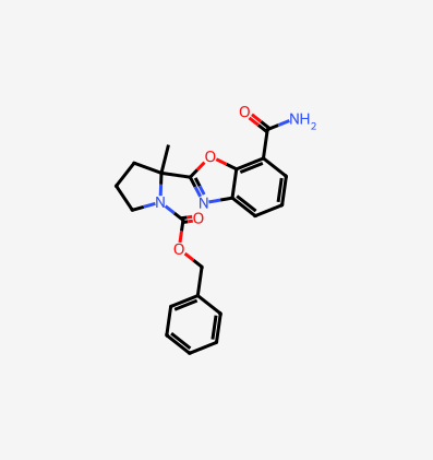 CC1(c2nc3cccc(C(N)=O)c3o2)CCCN1C(=O)OCc1ccccc1